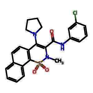 CN1C(C(=O)Nc2cccc(Cl)c2)=C(N2CCCC2)c2ccc3ccccc3c2S1(=O)=O